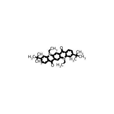 CCn1c2cc(C(C)(C)C)ccc2c(=O)c2cc3c(cc21)c(=O)c1ccc(C(C)(C)C)cc1n3CC